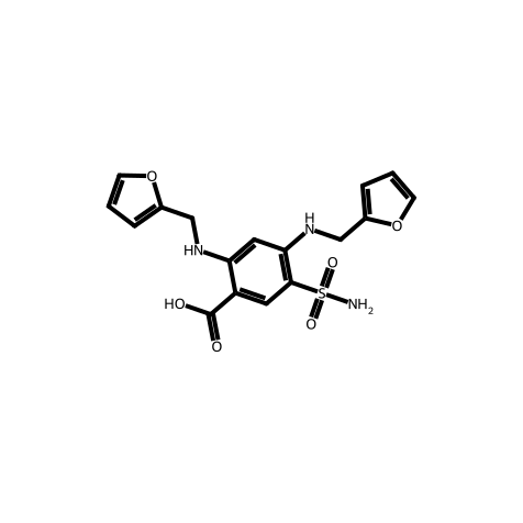 NS(=O)(=O)c1cc(C(=O)O)c(NCc2ccco2)cc1NCc1ccco1